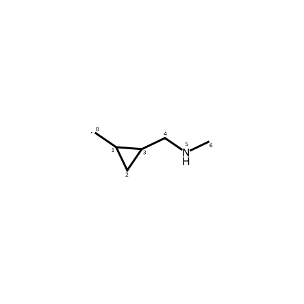 [CH2]C1CC1CNC